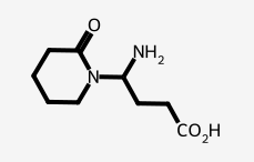 NC(CCC(=O)O)N1CCCCC1=O